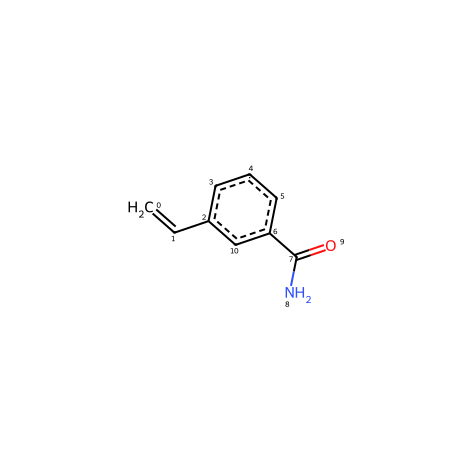 C=Cc1c[c]cc(C(N)=O)c1